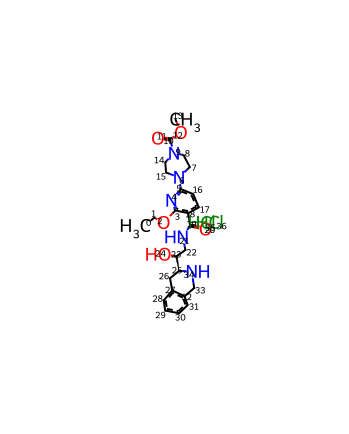 CCOc1nc(N2CCN(C(=O)OC)CC2)ccc1C(=O)NCC(O)[C@@H]1Cc2ccccc2CN1.Cl.Cl